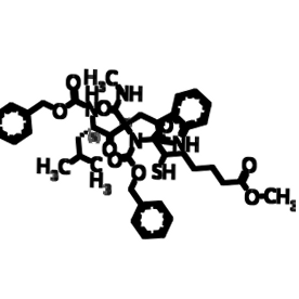 CNC(=O)[C@@](Cc1c[nH]c2ccccc12)(C(=O)[C@H](CC(C)C)NC(=O)OCc1ccccc1)N(C(=O)OCc1ccccc1)C(=O)C(S)CCCCC(=O)OC